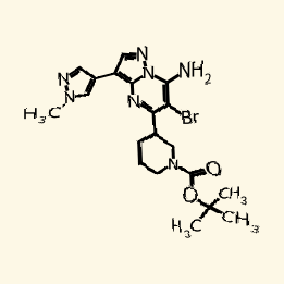 Cn1cc(-c2cnn3c(N)c(Br)c(C4CCCN(C(=O)OC(C)(C)C)C4)nc23)cn1